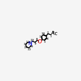 CC(=O)CCc1ccc(OCCCN2CCCCC2)cc1